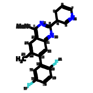 CNc1nc(C2C=NC=CC2)nc2cc(-c3cc(F)ccc3F)c(C)cc12